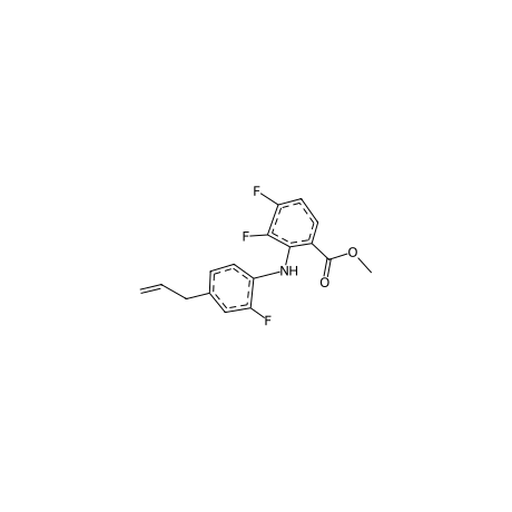 C=CCc1ccc(Nc2c(C(=O)OC)ccc(F)c2F)c(F)c1